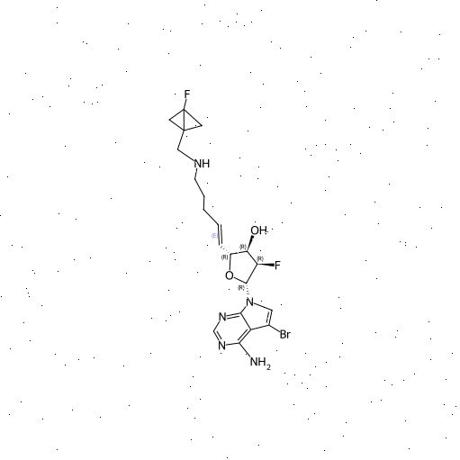 Nc1ncnc2c1c(Br)cn2[C@@H]1O[C@H](/C=C/CCCNCC23CC2(F)C3)[C@@H](O)[C@H]1F